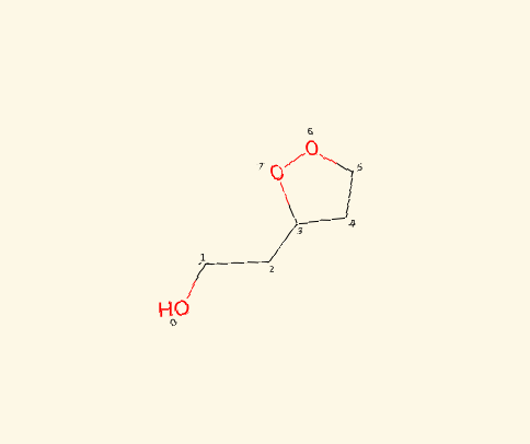 O[CH]CC1CCOO1